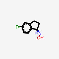 O/N=C1/CCc2cc(F)ccc21